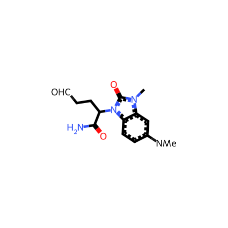 CNc1ccc2c(c1)n(C)c(=O)n2C(CCC=O)C(N)=O